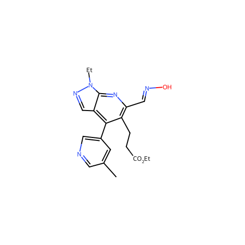 CCOC(=O)CCc1c(C=NO)nc2c(cnn2CC)c1-c1cncc(C)c1